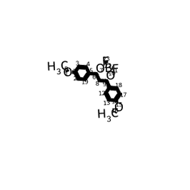 COc1ccc(C(=O)CC(=O)c2ccc(OC)cc2)cc1.F[B]F